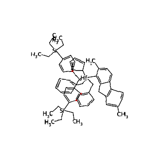 CC[Si](CC)(CC)c1ccc([C](c2ccc([Si](CC)(CC)CC)cc2)=[Hf]([CH2]c2ccccc2)([CH2]c2ccccc2)([c]2c(C)ccc3c2Cc2cc(C)ccc2-3)[CH]2C=CC=C2)cc1